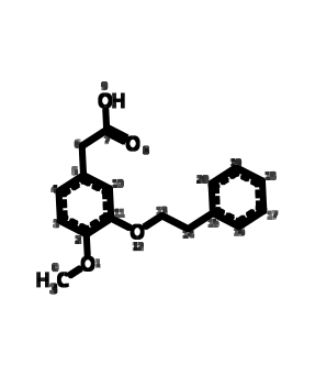 COc1ccc(CC(=O)O)cc1OCCc1ccccc1